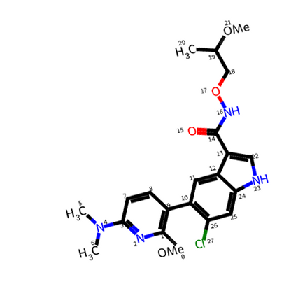 COc1nc(N(C)C)ccc1-c1cc2c(C(=O)NOCC(C)OC)c[nH]c2cc1Cl